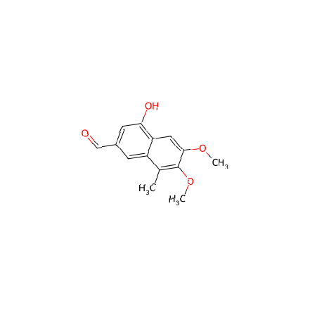 COc1cc2c(O)cc(C=O)cc2c(C)c1OC